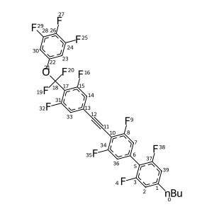 CCCCc1cc(F)c(-c2cc(F)c(C#Cc3cc(F)c(C(F)(F)Oc4cc(F)c(F)c(F)c4)c(F)c3)c(F)c2)c(F)c1